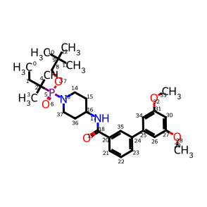 CCC(C)(C)P(=O)(OCC(C)(C)C)N1CCC(NC(=O)c2cccc(-c3cc(OC)cc(OC)c3)c2)CC1